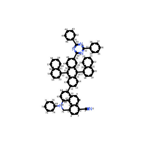 N#Cc1ccc2c3c1ccc1c(-c4ccc5c(-c6cccc7ccccc67)c6cc(-c7nc(-c8ccccc8)nc(-c8ccccc8)n7)ccc6c(-c6cccc7ccccc67)c5c4)ccc(c13)N(c1ccccc1)C2